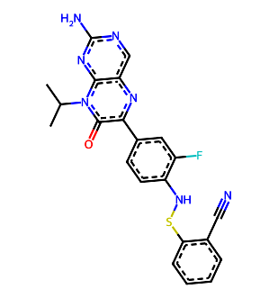 CC(C)n1c(=O)c(-c2ccc(NSc3ccccc3C#N)c(F)c2)nc2cnc(N)nc21